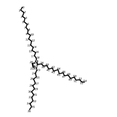 CCCCCCCCCCCCCCCCCCCN1C=CN(CCCCCCCCCCCCCC)C1CCCCCCCCCCCCCCCCC